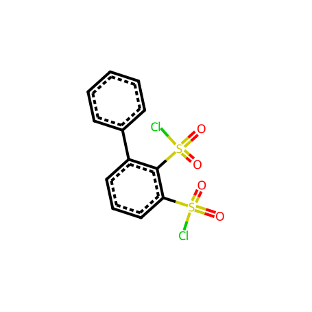 O=S(=O)(Cl)c1cccc(-c2ccccc2)c1S(=O)(=O)Cl